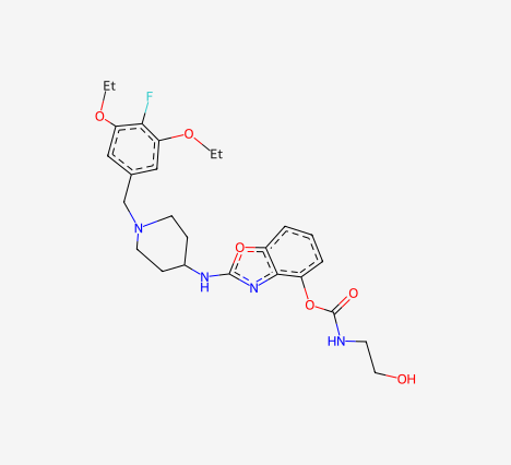 CCOc1cc(CN2CCC(Nc3nc4c(OC(=O)NCCO)cccc4o3)CC2)cc(OCC)c1F